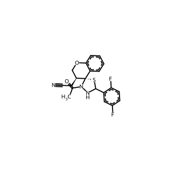 CC(=O)N1NC(c2cc(F)ccc2F)S[C@]12c1ccccc1OC[C@@H]2CC#N